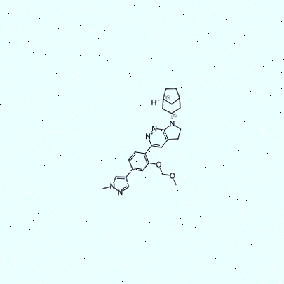 COCOc1cc(-c2cnn(C)c2)ccc1-c1cc2c(nn1)N([C@H]1CC3CC[C@@H](C3)C1)CC2